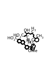 CC(C=CC1=C(C)CCCC1(C)C)=C/C=C(CO)\C(C)=C/C(=O)O.COc1ccc(-c2ccc3cc(C(=O)O)ccc3c2)cc1C12CC3CC(CC(C3)C1)C2